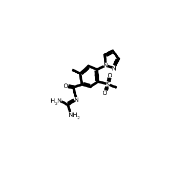 Cc1cc(-n2cccn2)c(S(C)(=O)=O)cc1C(=O)N=C(N)N